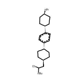 CCCCC(CC)C[C@H]1CC[C@H](c2ccc([C@H]3CC[C@H](CCC)CC3)cc2)CC1